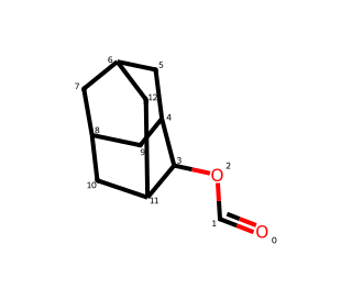 O=COC1C2CC3CC(C2)CC1C3